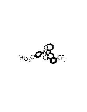 O=C(O)c1ccc(-n2nc(Cc3c(Cl)cccc3C(F)(F)F)c3c2OCCCC3)cc1